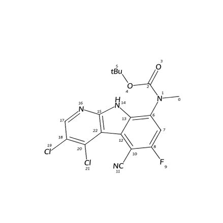 CN(C(=O)OC(C)(C)C)c1cc(F)c(C#N)c2c1[nH]c1ncc(Cl)c(Cl)c12